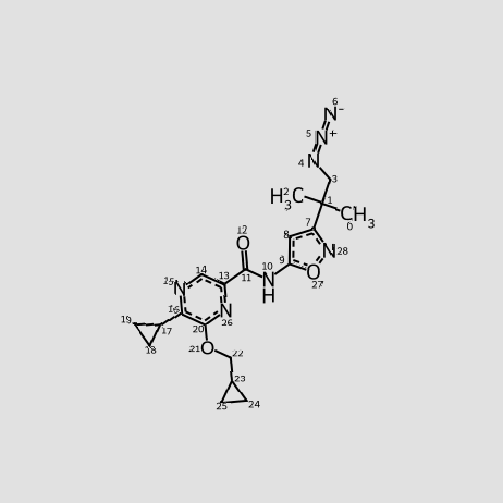 CC(C)(CN=[N+]=[N-])c1cc(NC(=O)c2cnc(C3CC3)c(OCC3CC3)n2)on1